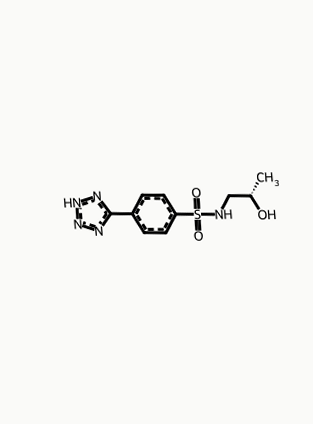 C[C@H](O)CNS(=O)(=O)c1ccc(-c2nn[nH]n2)cc1